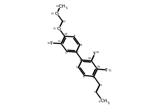 CCCc1ccc(-c2ccc(OCOC)c(F)c2)c(F)c1F